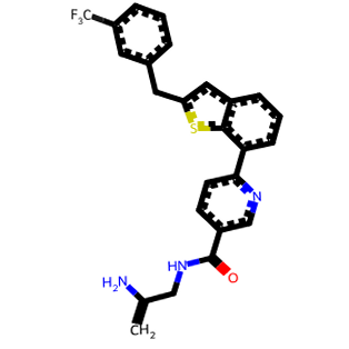 C=C(N)CNC(=O)c1ccc(-c2cccc3cc(Cc4cccc(C(F)(F)F)c4)sc23)nc1